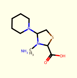 CN1C(C(=O)O)SCC1N1CCCCC1.N